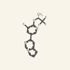 C[C@@H](Oc1ncc(-c2cc3cccn3cn2)cc1F)C(F)(F)F